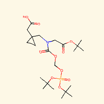 CC(C)(C)OC(=O)CN(CC1(CC(=O)O)CC1)C(=O)OCOP(=O)(OC(C)(C)C)OC(C)(C)C